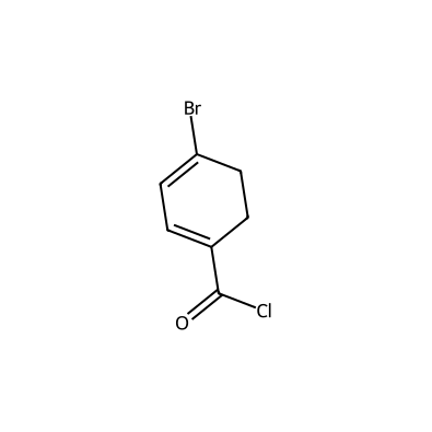 O=C(Cl)C1=CC=C(Br)CC1